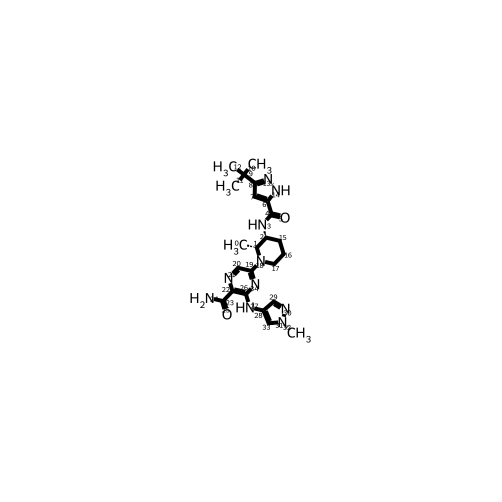 C[C@@H]1[C@H](NC(=O)c2cc(C(C)(C)C)n[nH]2)CCCN1c1cnc(C(N)=O)c(Nc2cnn(C)c2)n1